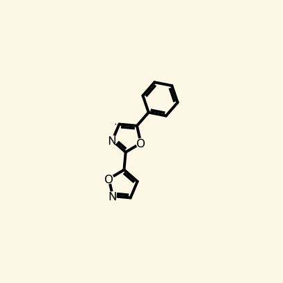 [c]1nc(-c2ccno2)oc1-c1ccccc1